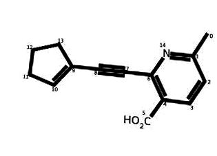 Cc1ccc(C(=O)O)c(C#CC2=CCCC2)n1